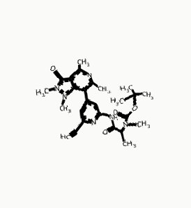 C#Cc1cc(-c2c(C)nc(C)c3c(=O)n(C)n(C)c23)cc(NC(=O)C(C)N(C)C(=O)OC(C)(C)C)n1